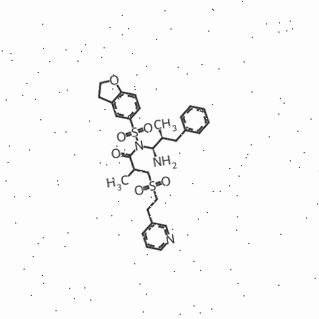 CC(CS(=O)(=O)CCc1cccnc1)C(=O)N([C@H](N)[C@@H](C)Cc1ccccc1)S(=O)(=O)c1ccc2c(c1)CCO2